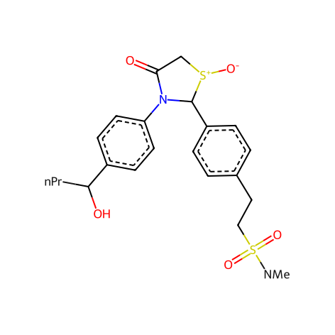 CCCC(O)c1ccc(N2C(=O)C[S+]([O-])C2c2ccc(CCS(=O)(=O)NC)cc2)cc1